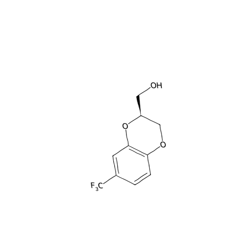 OC[C@H]1COc2ccc(C(F)(F)F)cc2O1